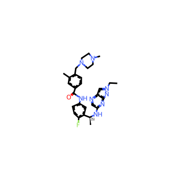 CCn1cc2ncc(N[C@@H](C)c3cc(NC(=O)c4ccc(CN5CCN(C)CC5)c(C)c4)ccc3F)nc2n1